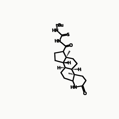 CCCCNC(=S)NC(=O)C1CC[C@H]2[C@@H]3CCC4NC(=O)CC[C@]4(C)[C@@H]3CC[C@]12C